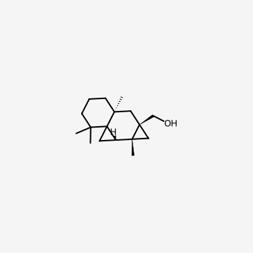 CC1(C)CCC[C@@]2(C)C[C@]3(CO)C[C@]3(C)[C@@H]3CC312